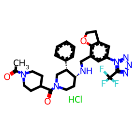 CC(=O)N1CCC(C(=O)N2CC[C@@H](NCc3cc(-n4nnnc4C(F)(F)F)cc4c3OCC4)[C@@H](c3ccccc3)C2)CC1.Cl